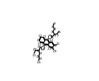 CCCCC(CC)COc1c2ccccc2c(OCC(CC)CCCC)c2cc(C)c(C)cc12